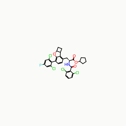 O=C(N[C@@H](Cc1ccc(-c2c(Cl)cc(F)cc2Cl)c2c1C1CCC1O2)C(=O)OC1CCCC1)c1c(Cl)cccc1Cl